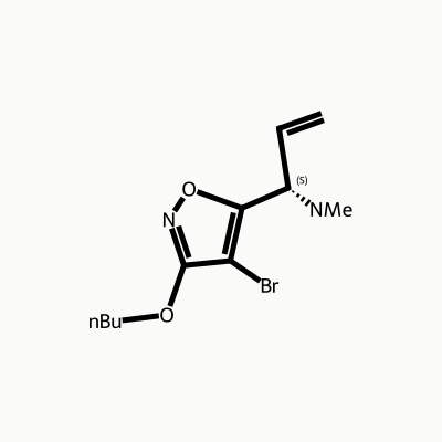 C=C[C@H](NC)c1onc(OCCCC)c1Br